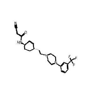 N#CCC(=O)N[C@H]1CC[C@H](CCN2CCN(c3cccc(C(F)(F)F)c3)CC2)CC1